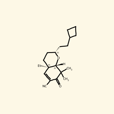 CC[C@@]12C=C(C#N)C(=O)C(C)(C)[C@H]1O[C@@H](CCC1CCC1)CC2